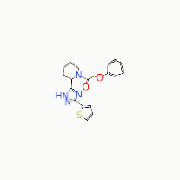 O=C(COc1ccccc1)N1CCCCC1c1nc(-c2cccs2)n[nH]1